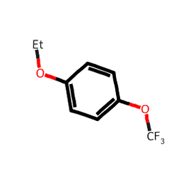 [CH2]COc1ccc(OC(F)(F)F)cc1